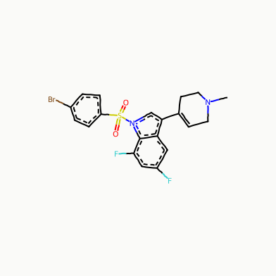 CN1CC=C(c2cn(S(=O)(=O)c3ccc(Br)cc3)c3c(F)cc(F)cc23)CC1